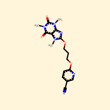 Cn1c(=O)c2c(nc(OCCCOc3ccc(C#N)cn3)n2C)n(C)c1=O